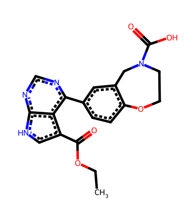 CCOC(=O)c1c[nH]c2ncnc(-c3ccc4c(c3)CN(C(=O)O)CCO4)c12